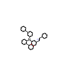 C(=C\c1cccc(N(c2cccc(-c3ccccc3)c2)c2ccccc2-c2ccccc2)c1)/c1ccccc1